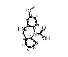 COc1ccc2c(c1)NCc1cccnc1N2C(=O)O